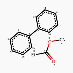 CCC(=O)OC#N.c1ccc(-c2ccccc2)cc1